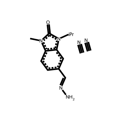 C#N.C#N.CC(C)n1c(=O)n(C)c2ccc(C=NN)cc21